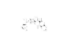 C[C@H]1CC[C@@H]2C3CC[C@@]4(C)C(CCC4[C@@H](C)NC(=O)c4cccnc4)[C@@H]3CC[C@@H]2C1